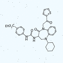 CCOC(=O)c1ccc(NC(=O)NC2CN(C3CCCCC3)c3ccccc3N(CC(=O)c3cccs3)C2=O)cc1